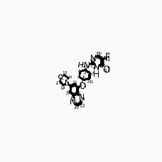 O=c1[nH]c(N[C@H]2CC[C@@H](Oc3cc(N4CCOCC4)cc4nccnc34)CC2)ncc1F